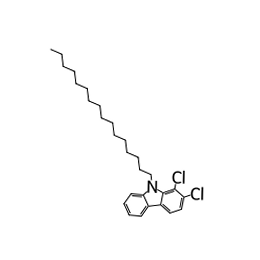 CCCCCCCCCCCCCCCCn1c2ccccc2c2ccc(Cl)c(Cl)c21